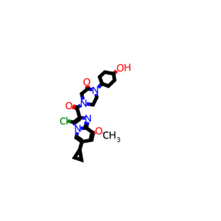 COc1cc(C2CC2)cn2c(Cl)c(C(=O)N3CCN(C4CCC(O)CC4)C(=O)C3)nc12